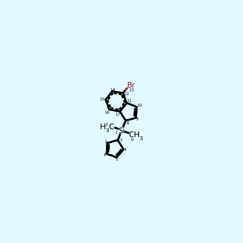 C[Si](C)(C1C=CC=C1)C1C=Cc2c(Br)cccc21